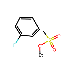 CCOS(C)(=O)=O.Fc1ccccc1